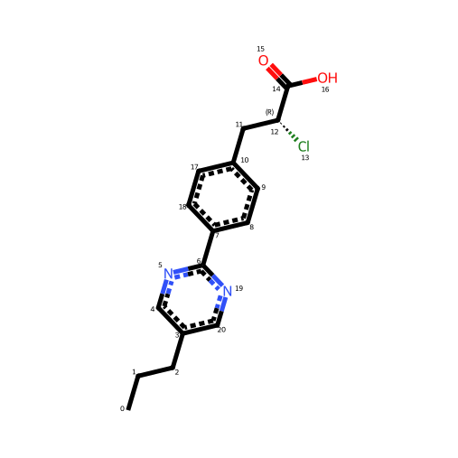 CCCc1cnc(-c2ccc(C[C@@H](Cl)C(=O)O)cc2)nc1